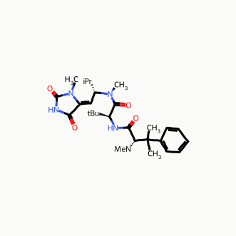 CN[C@H](C(=O)N[C@H](C(=O)N(C)[C@H](/C=C1/C(=O)NC(=O)N1C)C(C)C)C(C)(C)C)C(C)(C)c1ccccc1